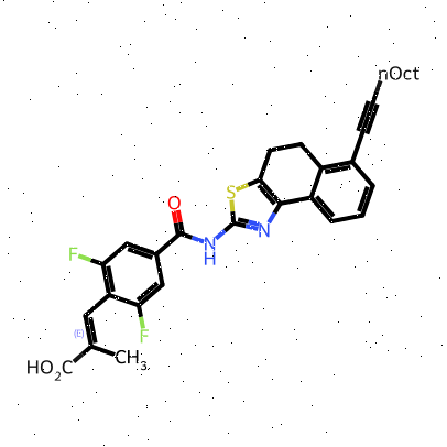 CCCCCCCCC#Cc1cccc2c1CCc1sc(NC(=O)c3cc(F)c(/C=C(\C)C(=O)O)c(F)c3)nc1-2